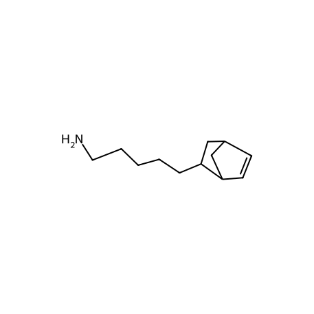 NCCCCCC1CC2C=CC1C2